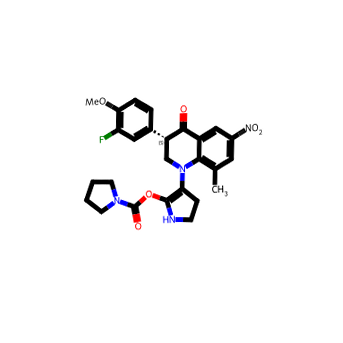 COc1ccc([C@H]2CN(C3=C(OC(=O)N4CCCC4)NCC3)c3c(C)cc([N+](=O)[O-])cc3C2=O)cc1F